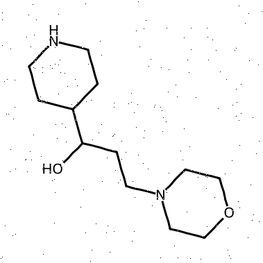 OC(CCN1CCOCC1)C1CCNCC1